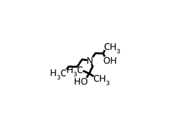 CCCCN(CC(C)O)CC(C)(C)O